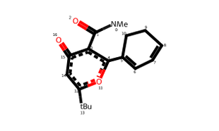 CNC(=O)c1c(C2=CC=CCC2)oc(C(C)(C)C)cc1=O